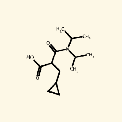 CC(C)N(C(=O)C(CC1CC1)C(=O)O)C(C)C